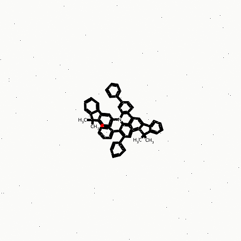 CC1(C)c2ccccc2-c2cc(-c3ccc(-c4ccccc4)cc3N(c3ccc4c(c3)-c3ccccc3C4(C)C)c3cccc(-c4ccccc4)c3-c3ccccc3)ccc21